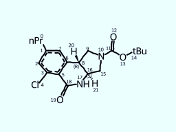 CCCc1cc(Cl)c2c(c1)[C@@H]1CN(C(=O)OC(C)(C)C)C[C@H]1NC2=O